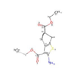 CCOC(=O)c1c(N)sc2c1CC(C(=O)OCC)C2